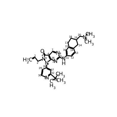 C=CCn1c(=O)c2cnc(Nc3ccc4c(c3)CCC(CN(C)C)C4)nc2n1-c1ccnc(C(C)(C)C)c1